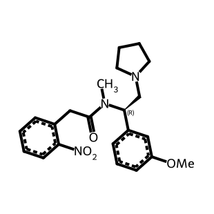 COc1cccc([C@H](CN2CCCC2)N(C)C(=O)Cc2ccccc2[N+](=O)[O-])c1